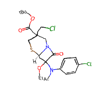 CCOC1(N(C(C)=O)c2ccc(Cl)cc2)C(=O)N2CC(CCl)(C(=O)OC(C)(C)C)CS[C@@H]21